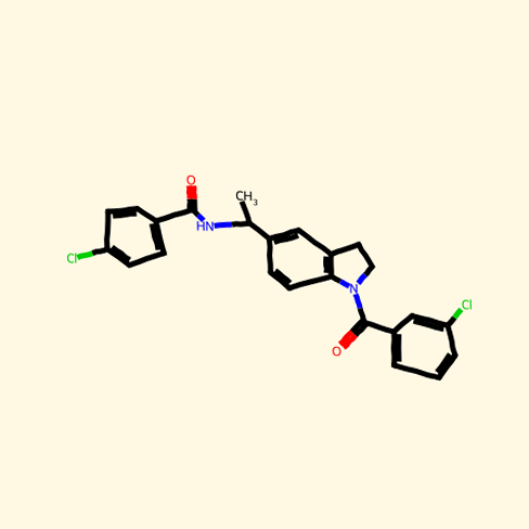 CC(NC(=O)c1ccc(Cl)cc1)c1ccc2c(c1)CCN2C(=O)c1cccc(Cl)c1